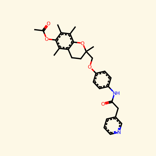 CC(=O)Oc1c(C)c(C)c2c(c1C)CCC(C)(COc1ccc(NC(=O)Cc3cccnc3)cc1)O2